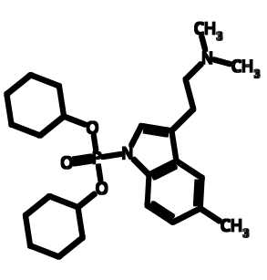 Cc1ccc2c(c1)c(CCN(C)C)cn2P(=O)(OC1CCCCC1)OC1CCCCC1